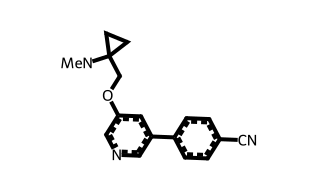 CNC1(COc2cncc(-c3ccc(C#N)cc3)c2)CC1